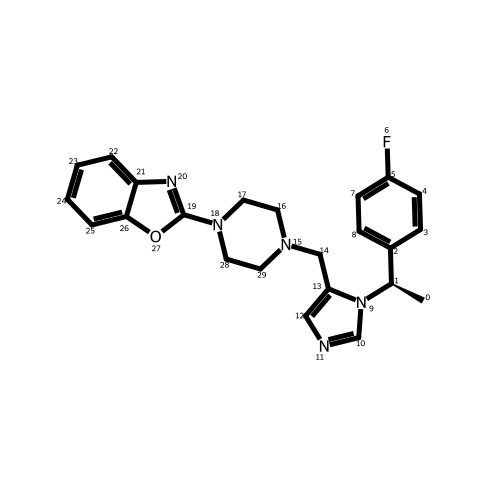 C[C@H](c1ccc(F)cc1)n1cncc1CN1CCN(c2nc3ccccc3o2)CC1